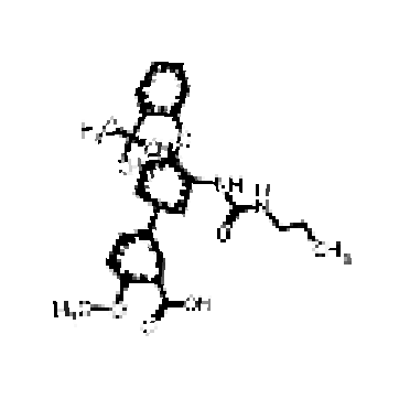 CCCNC(=O)Nc1cc(-c2ccc(OC)c(C(=O)O)c2)ccc1Oc1ccccc1C(C)(C)C